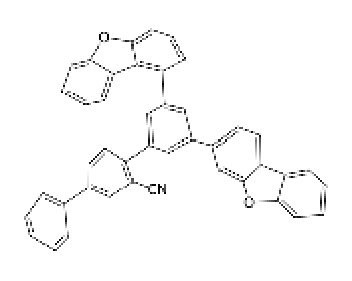 N#Cc1cc(-c2ccccc2)ccc1-c1cc(-c2ccc3c(c2)oc2ccccc23)cc(-c2cccc3oc4ccccc4c23)c1